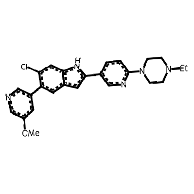 CCN1CCN(c2ccc(-c3cc4cc(-c5cncc(OC)c5)c(Cl)cc4[nH]3)cn2)CC1